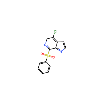 O=S(=O)(C1=NCC(Cl)=C2C=CN=C12)c1ccccc1